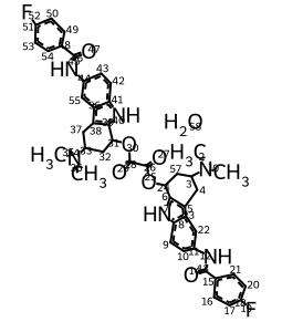 CN(C)C1Cc2c([nH]c3ccc(NC(=O)c4ccc(F)cc4)cc23)C(OC(=O)C(=O)OC2CC(N(C)C)Cc3c2[nH]c2ccc(NC(=O)c4ccc(F)cc4)cc32)C1.O